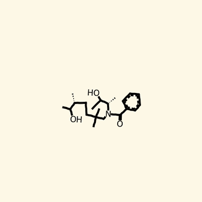 CC(O)[C@H](C)CCC(C)(C)CN(C(=O)c1ccccc1)[C@@H](C)C(C)O